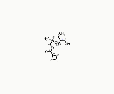 CC/C(=C\C(C)C)C(C)OC(C)(C)COC(=O)C1CCC1